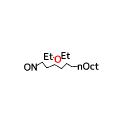 CCCCCCCCCCCCCCN=O.CCOCC